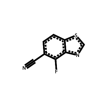 N#Cc1ccc2scnc2c1F